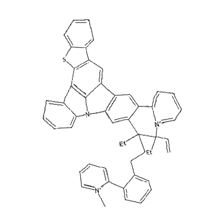 C=CC1(CC)[n+]2ccccc2-c2cc3c4cc5c6ccccc6sc5c5c6ccccc6n(c3cc2C1(CC)CCc1ccccc1-c1cccc[n+]1C)c45